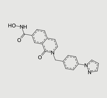 O=C(NO)c1ccc2ccn(Cc3ccc(-n4cccn4)cc3)c(=O)c2c1